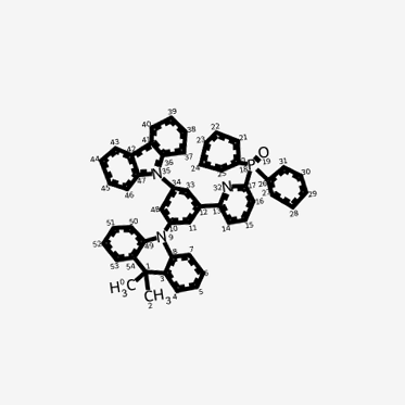 CC1(C)c2ccccc2N(c2cc(-c3cccc(P(=O)(c4ccccc4)c4ccccc4)n3)cc(-n3c4ccccc4c4ccccc43)c2)c2ccccc21